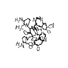 C[C@H]1[C@H](N)CCN1C(Nc1ncnc2cc(Cl)c(Cl)cc12)C(=O)C(C=O)(Nc1ncnc2cc(Cl)c(Cl)cc12)N1CC[C@@H](N)[C@@H]1C